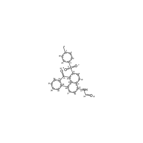 Cc1ccc(S(=O)(=O)c2ccc3c(NC=O)ccc4c3c2C(=O)c2ccccc2-4)cc1